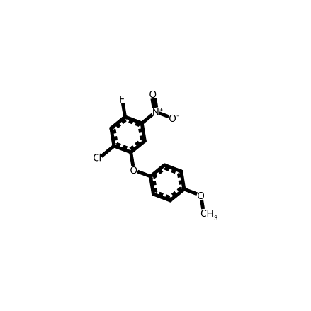 COc1ccc(Oc2cc([N+](=O)[O-])c(F)cc2Cl)cc1